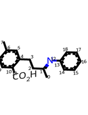 CC(CCc1cc(C)ccc1C(=O)O)=Nc1ccccc1